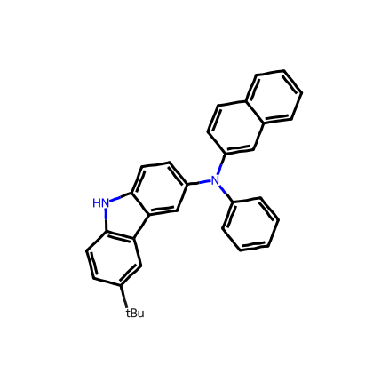 CC(C)(C)c1ccc2[nH]c3ccc(N(c4ccccc4)c4ccc5ccccc5c4)cc3c2c1